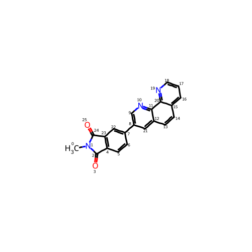 CN1C(=O)c2ccc(-c3cnc4c(ccc5cccnc54)c3)cc2C1=O